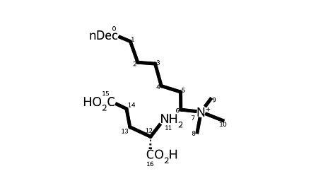 CCCCCCCCCCCCCCCC[N+](C)(C)C.N[C@@H](CCC(=O)O)C(=O)O